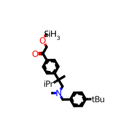 CC(C)C(C)(CN(C)Cc1ccc(C(C)(C)C)cc1)c1ccc(C(=O)CO[SiH3])cc1